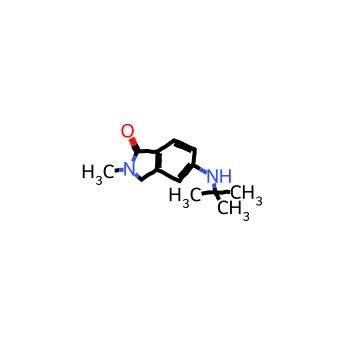 CN1Cc2cc(NC(C)(C)C)ccc2C1=O